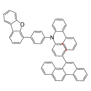 c1ccc(-c2ccccc2N(c2ccc(-c3cccc4c3oc3ccccc34)cc2)c2ccc(-c3cc4ccccc4c4ccc5ccccc5c34)cc2)cc1